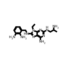 CCn1c(NCc2cccc(N)c2N)nc2c(N)nc(NCC(C)N)nc21